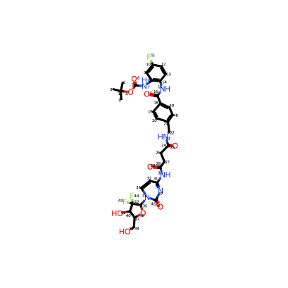 CC(C)(C)OC(=O)Nc1cc(F)ccc1NC(=O)c1ccc(CNC(=O)CCC(=O)Nc2ccn(C3OC(CO)C(O)C3(F)F)c(=O)n2)cc1